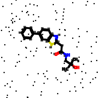 CC(C)(O)CNC(=O)Cc1nc2ccc(-c3ccccc3)cc2s1